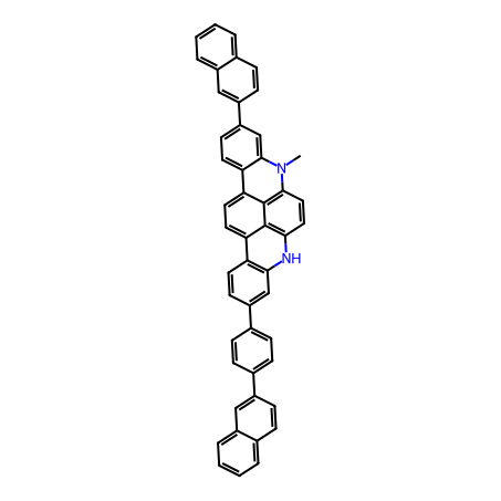 CN1c2cc(-c3ccc4ccccc4c3)ccc2-c2ccc3c4c(ccc1c24)Nc1cc(-c2ccc(-c4ccc5ccccc5c4)cc2)ccc1-3